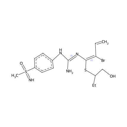 C=C/C(Br)=C(\N=C(/N)Nc1ccc(S(C)(=N)=O)cc1)SC(CC)CO